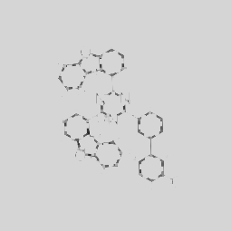 Clc1cccc(-c2cccc(-c3nc(-c4cccc5oc6ccccc6c45)nc(-c4cccc5oc6ccccc6c45)n3)c2)c1